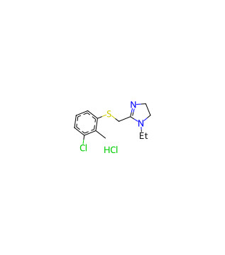 CCN1CCN=C1CSc1cccc(Cl)c1C.Cl